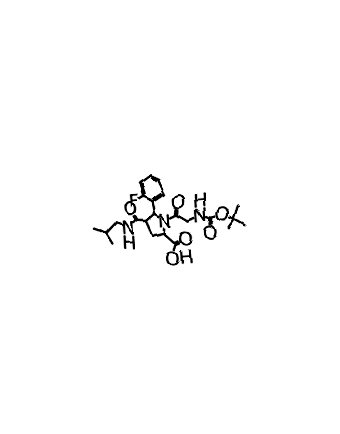 CC(C)CNC(=O)C1CC(C(=O)O)N(C(=O)CNC(=O)OC(C)(C)C)C1c1ccccc1F